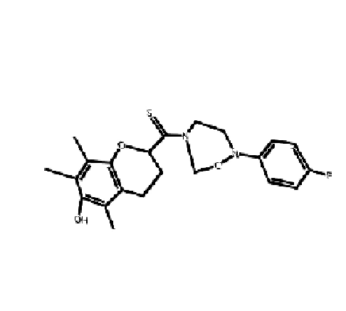 Cc1c(C)c2c(c(C)c1O)CCC(C(=S)N1CCN(c3ccc(F)cc3)CC1)O2